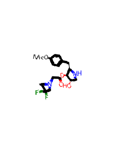 COc1ccc(C[C@H]2NC[C@H](O)[C@H]2OC(=O)CN2CC(F)(F)C2)cc1